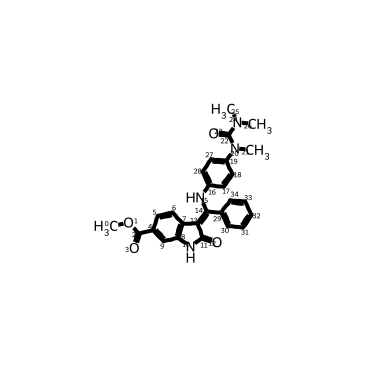 COC(=O)c1ccc2c(c1)NC(=O)C2=C(Nc1ccc(N(C)C(=O)N(C)C)cc1)c1ccccc1